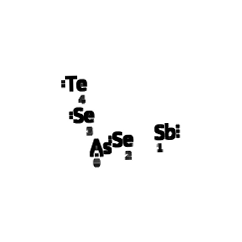 [As].[Sb].[Se].[Se].[Te]